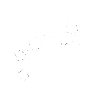 Clc1ccc2c(c1)N(CCCN1CCN(c3cccc(-c4ccccc4)c3)CC1)C=CC2[AsH2]